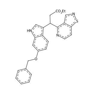 CCOC(=O)CC(c1c[nH]c2cc(OCc3ccccc3)ccc12)c1nccc2sncc12